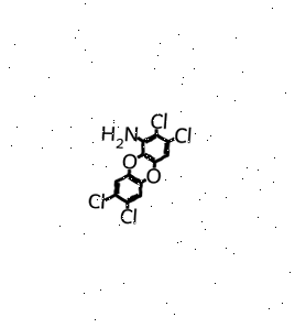 Nc1c(Cl)c(Cl)cc2c1Oc1cc(Cl)c(Cl)cc1O2